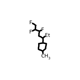 CCC(CC(F)C(F)CF)C1CCC(C)CC1